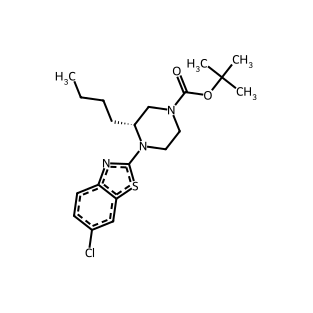 CCCC[C@@H]1CN(C(=O)OC(C)(C)C)CCN1c1nc2ccc(Cl)cc2s1